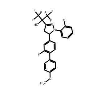 COc1ccc(-c2ccc(C3CC(C(O)(C(F)(F)F)C(F)(F)F)=NN3c3ccccc3Cl)cc2F)cc1